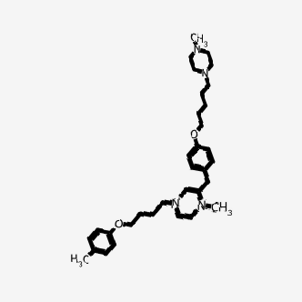 Cc1ccc(OCCCCN2CCN(C)C(Cc3ccc(OCCCCCN4CCN(C)CC4)cc3)C2)cc1